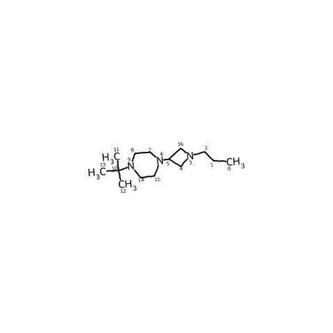 CCCN1CC(N2CCN(C(C)(C)C)CC2)C1